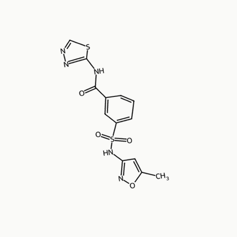 Cc1cc(NS(=O)(=O)c2cccc(C(=O)Nc3nncs3)c2)no1